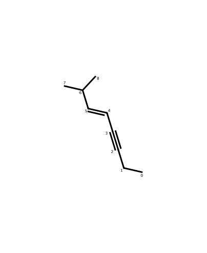 CCC#CC=CC(C)C